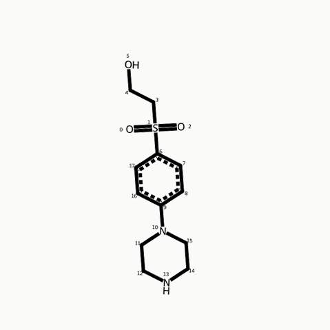 O=S(=O)(CCO)c1ccc(N2CCNCC2)cc1